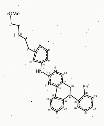 COCCNCCc1cccc(Nc2ncc3c(n2)-c2ccccc2C(c2ccccc2F)C3)c1